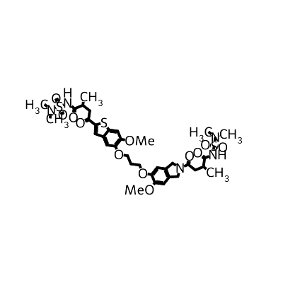 COc1cc2c(cc1OCCCOc1cc3cc(C(=O)CC(C)C(=O)NS(=O)(=O)N(C)C)sc3cc1OC)CN(C(=O)CC(C)C(=O)NS(=O)(=O)N(C)C)C2